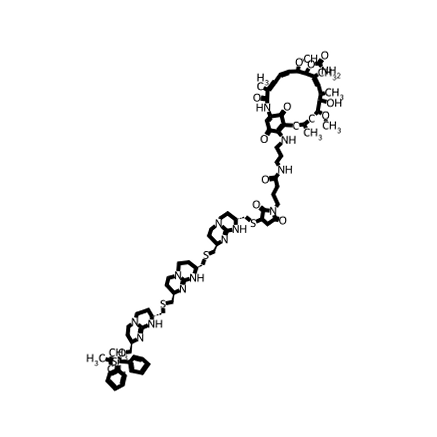 COC1C=CC=C(C)C(=O)NC2=CC(=O)C(NCCCNC(=O)CCCN3C(=O)CC(SC[C@H]4CCN5CC[C@H](CSC[C@H]6CCN7CC[C@H](CSC[C@H]8CCN9CC[C@H](CO[Si](c%10ccccc%10)(c%10ccccc%10)C(C)(C)C)N=C9N8)N=C7N6)N=C5N4)C3=O)=C(CC(C)CC(OC)C(O)C(C)C=C(C)C1OC(N)=O)C2=O